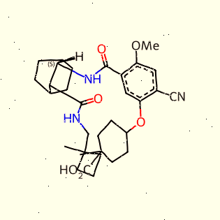 COc1cc(C#N)c(OC2CCC(C)(C(=O)O)CC2)cc1C(=O)N[C@H]1C2CCC(CC2)C1C(=O)NCC1(C)CCC1